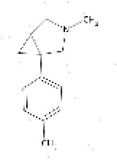 Cc1ccc(C23CC2CN(C)C3)cc1